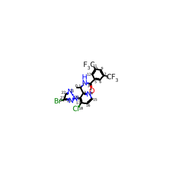 CC(NC(=O)c1cc(C(F)(F)F)cc(C(F)(F)F)c1)c1nccc(Cl)c1-n1ncc(Br)n1